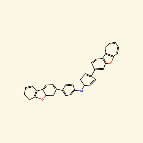 C1=CCc2c(oc3cc(C4=CCC(Nc5ccc(C6=CC=C7C8=C(CCC=C8)OC7C6)cc5)C=C4)ccc23)C=C1